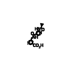 O=C(O)c1cncc(CNC(=O)c2ccnc(NC(=O)C3CC3)c2)c1